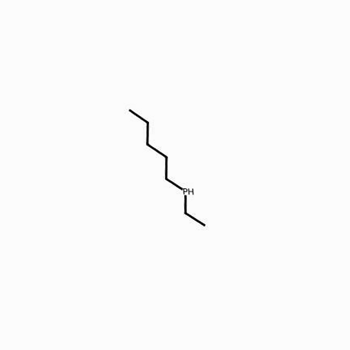 CCCCCPCC